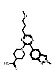 COCCCc1cnc(-c2ccc3nn(C)cc3c2)c(N2CCC(C(=O)O)CC2)n1